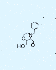 O=CC1C(CO)OCCN1Cc1ccccc1